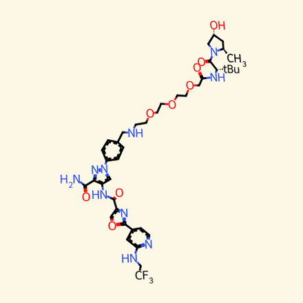 C[C@@H]1C[C@@H](O)CN1C(=O)[C@@H](NC(=O)COCCOCCOCCNCc1ccc(-n2cc(NC(=O)c3coc(-c4ccnc(NCC(F)(F)F)c4)n3)c(C(N)=O)n2)cc1)C(C)(C)C